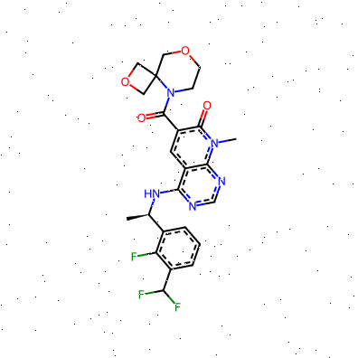 C[C@@H](Nc1ncnc2c1cc(C(=O)N1CCOCC13COC3)c(=O)n2C)c1cccc(C(F)F)c1F